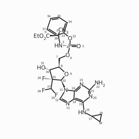 CCOC(=O)[C@@H](C)N[P@](=O)(OC[C@H]1O[C@@H](n2cnc3c(NC4CC4)nc(N)nc32)[C@@](F)(C(F)F)[C@@H]1O)Oc1ccccc1